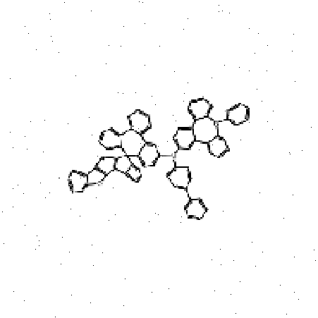 c1ccc(-c2ccc(N(c3ccc4c(c3)-c3ccccc3N(c3ccccc3)c3ccccc3-4)c3ccc4c(c3)-c3ccccc3-c3ccccc3C43c4ccccc4-c4c3ccc3c4oc4ccccc43)cc2)cc1